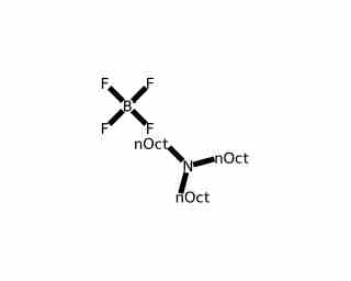 CCCCCCCCN(CCCCCCCC)CCCCCCCC.F[B-](F)(F)F